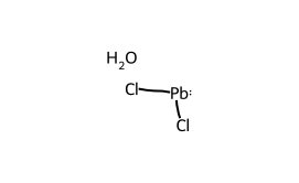 O.[Cl][Pb][Cl]